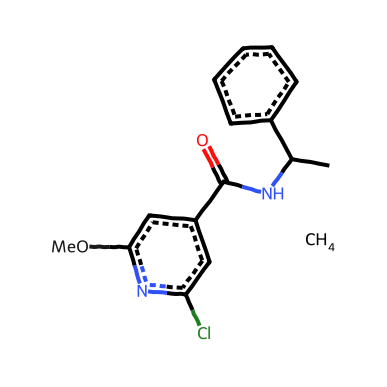 C.COc1cc(C(=O)NC(C)c2ccccc2)cc(Cl)n1